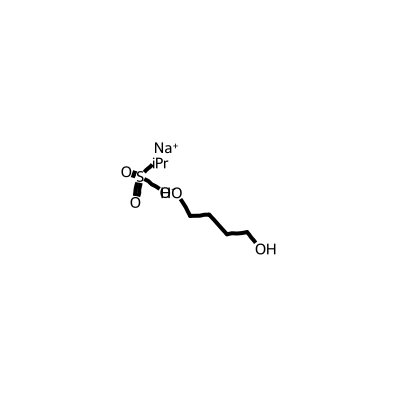 CC(C)S(=O)(=O)[O-].OCCCCO.[Na+]